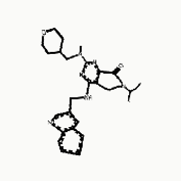 CC(C)N1Cc2c(NCc3cnc4ccccc4c3)nc(N(C)CC3CCOCC3)nc2C1=O